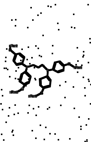 CCCCCOc1ccc(P(CCCP(c2ccc(OCCCCC)cc2)c2ccc(OCCCCC)cc2)c2ccc(OCCCCC)cc2)cc1